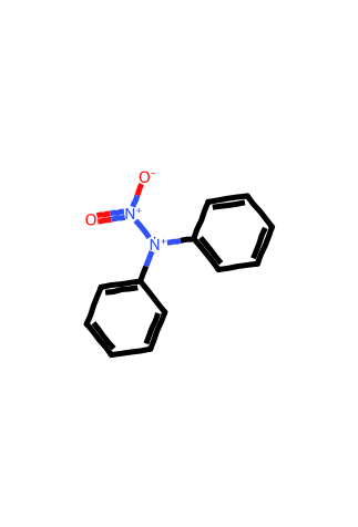 O=[N+]([O-])[N+](c1ccccc1)c1ccccc1